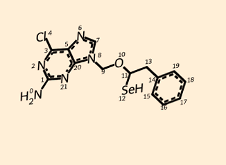 Nc1nc(Cl)c2ncn(COC([SeH])Cc3ccccc3)c2n1